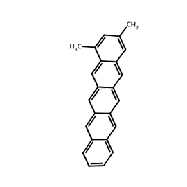 Cc1cc(C)c2cc3cc4cc5ccccc5cc4cc3cc2c1